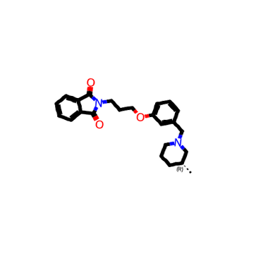 C[C@@H]1CCCN(Cc2cccc(OCCCN3C(=O)c4ccccc4C3=O)c2)C1